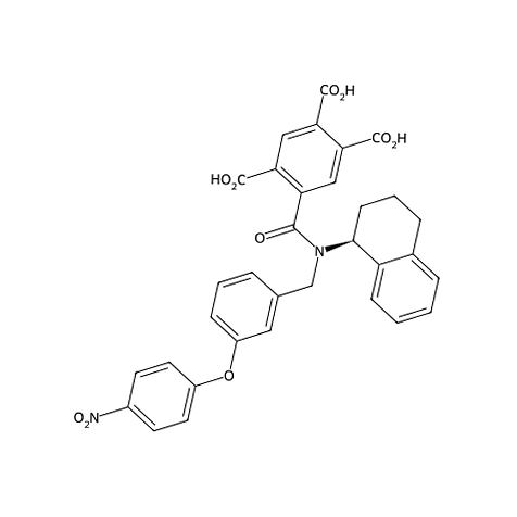 O=C(O)c1cc(C(=O)O)c(C(=O)N(Cc2cccc(Oc3ccc([N+](=O)[O-])cc3)c2)[C@H]2CCCc3ccccc32)cc1C(=O)O